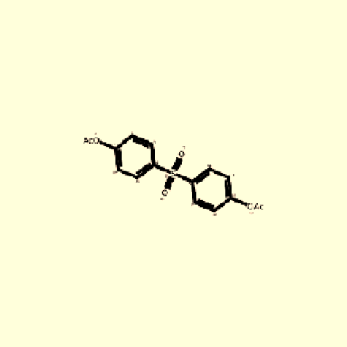 CC(=O)Oc1ccc(S(=O)(=O)c2ccc(OC(C)=O)cc2)cc1